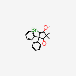 COC1=C(Br)C(c2ccccc2)(c2ccccc2)C(=O)C1(C)C